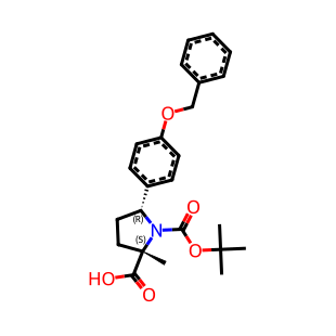 CC(C)(C)OC(=O)N1[C@@H](c2ccc(OCc3ccccc3)cc2)CC[C@@]1(C)C(=O)O